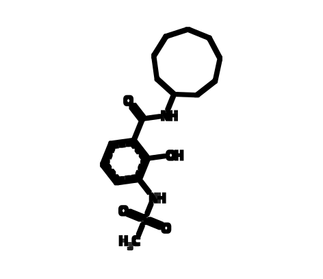 CS(=O)(=O)Nc1cccc(C(=O)NC2CCCCCCCC2)c1O